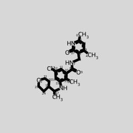 Cc1cc(C)c(CNC(=O)c2cc(Cl)cc(NC(C)C3CCOCC3)c2C)c(=O)[nH]1